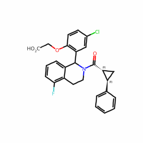 O=C(O)COc1ccc(Cl)cc1C1c2cccc(F)c2CCN1C(=O)[C@@H]1C[C@H]1c1ccccc1